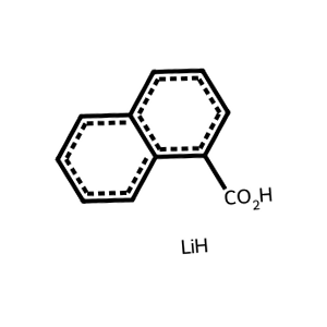 O=C(O)c1cccc2ccccc12.[LiH]